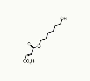 O=C(O)/C=C/C(=O)OCCCCCCO